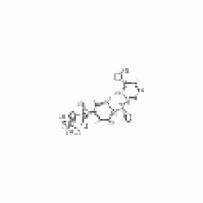 COc1cccc(C(=O)c2ccc([Si](C)(C)O[Si](C)(C)C)cc2)c1